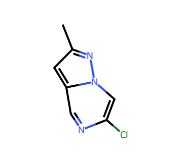 Cc1cc2cnc(Cl)cn2n1